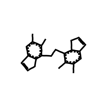 Cc1cc2c(c(CCc3c(C)c(C)cc4c3CC=C4)c1C)CC=C2